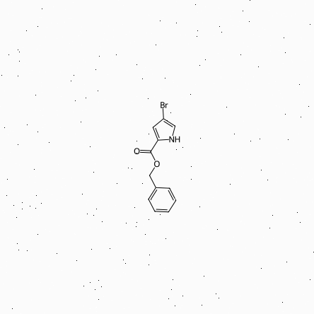 O=C(OCc1ccccc1)c1cc(Br)c[nH]1